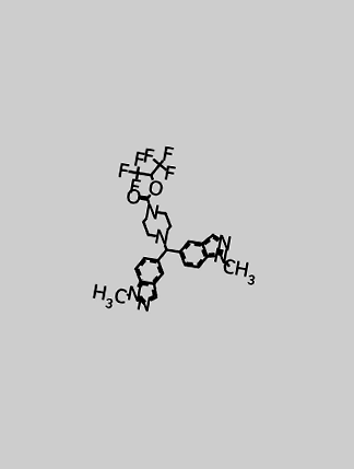 Cn1ncc2cc(C(c3ccc4c(cnn4C)c3)N3CCN(C(=O)OC(C(F)(F)F)C(F)(F)F)CC3)ccc21